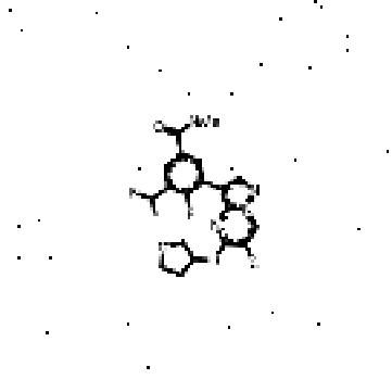 CNC(=O)c1cc(-c2cnn3cc(Cl)c(OC4CCOC4)nc23)c(F)c(C(F)F)c1